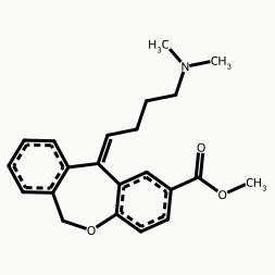 COC(=O)c1ccc2c(c1)/C(=C\CCCN(C)C)c1ccccc1CO2